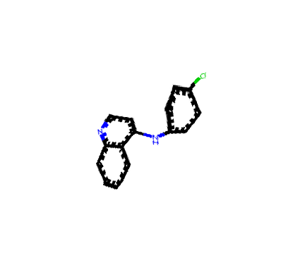 Clc1ccc(Nc2ccnc3ccccc23)cc1